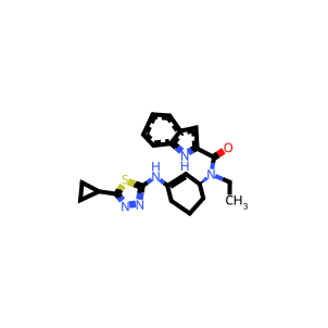 CCN(C(=O)c1cc2ccccc2[nH]1)[C@@H]1C=C(Nc2nnc(C3CC3)s2)CCC1